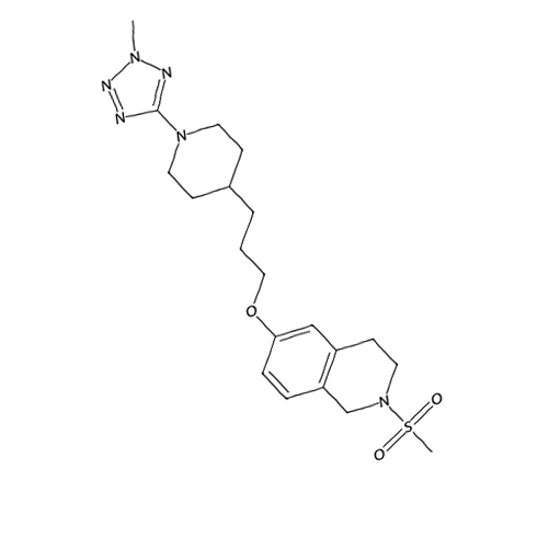 Cn1nnc(N2CCC(CCCOc3ccc4c(c3)CCN(S(C)(=O)=O)C4)CC2)n1